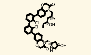 CC[C@H](O)C[C@H](C)CN1C(=O)COc2cc(-c3cccc(-c4cccc(-c5ccc6c(c5)OCC(=O)N6C[C@@H]5C[C@@H](O)CN5)c4Cl)c3Cl)ccc21